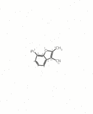 Cc1oc2c(C(C)C)cccc2c1C#N